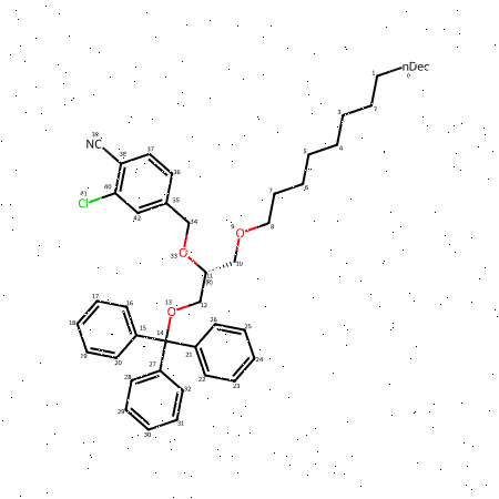 CCCCCCCCCCCCCCCCCCOC[C@H](COC(c1ccccc1)(c1ccccc1)c1ccccc1)OCc1ccc(C#N)c(Cl)c1